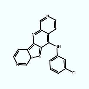 Clc1cccc(Nc2c3ccncc3nc3c2nn2cnccc32)c1